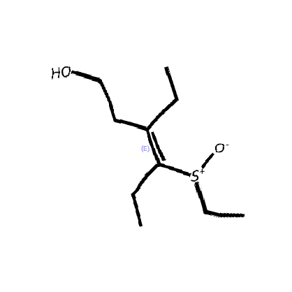 CC/C(CCO)=C(/CC)[S+]([O-])CC